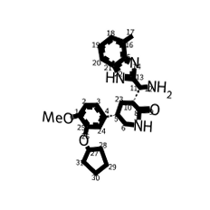 COc1ccc([C@H]2CNC(=O)[C@@H](C(N)c3nc4c(C)cccc4[nH]3)C2)cc1OC1CCCC1